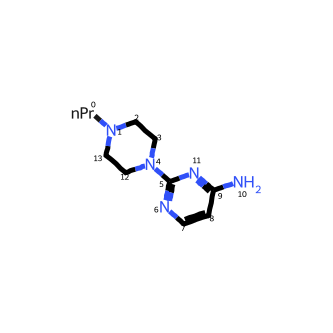 CCCN1CCN(c2nccc(N)n2)CC1